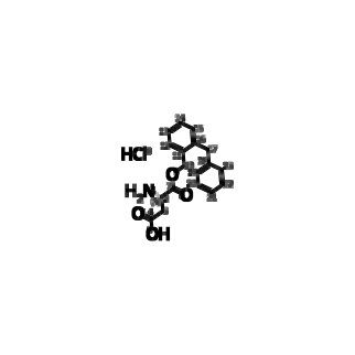 Cl.N[C@@H](CC(=O)O)C(=O)OCc1ccccc1Cc1ccccc1